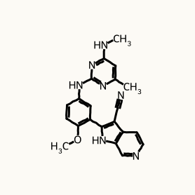 CNc1cc(C)nc(Nc2ccc(OC)c(-c3[nH]c4cnccc4c3C#N)c2)n1